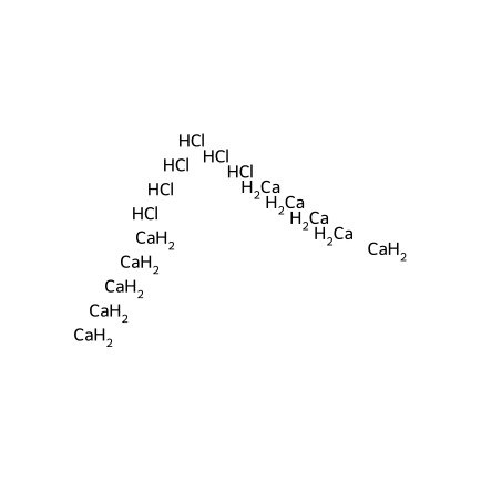 Cl.Cl.Cl.Cl.Cl.Cl.[CaH2].[CaH2].[CaH2].[CaH2].[CaH2].[CaH2].[CaH2].[CaH2].[CaH2].[CaH2]